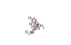 CC(C)(Oc1ccc(Cl)cc1)C(=O)NCCO[N+](=O)[O-]